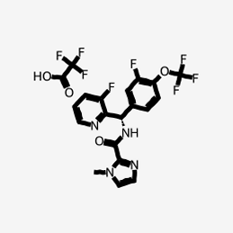 Cn1ccnc1C(=O)N[C@@H](c1ccc(OC(F)(F)F)c(F)c1)c1ncccc1F.O=C(O)C(F)(F)F